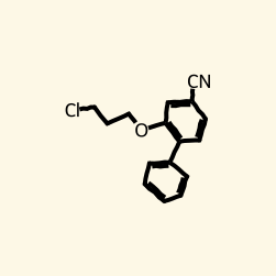 N#Cc1ccc(-c2ccccc2)c(OCCCCl)c1